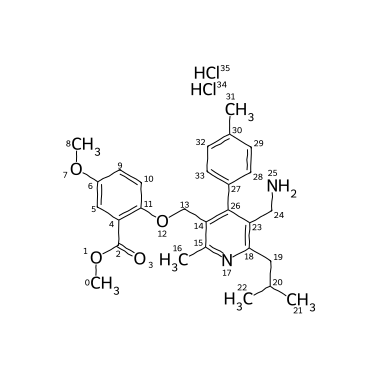 COC(=O)c1cc(OC)ccc1OCc1c(C)nc(CC(C)C)c(CN)c1-c1ccc(C)cc1.Cl.Cl